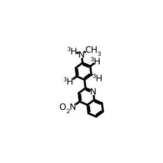 [3H]c1cc(N([3H])C)c([3H])c([3H])c1-c1cc([N+](=O)[O-])c2ccccc2n1